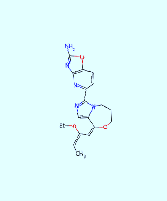 C/C=C(\C=C1\OCCCn2c1cnc2-c1ccc2oc(N)nc2n1)OCC